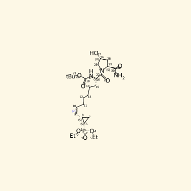 CCOP(=O)(OCC)[C@H]1C[C@H]1/C=C\CCCCC[C@H](NC(=O)OC(C)(C)C)C(=O)N1C[C@H](O)C[C@H]1C(N)=O